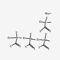 CC[N+](C)([S-])C(=S)[S-].CC[N+](C)([S-])C(=S)[S-].CC[N+](C)([S-])C(=S)[S-].CC[N+](C)([S-])C(=S)[S-].[Mo+4]